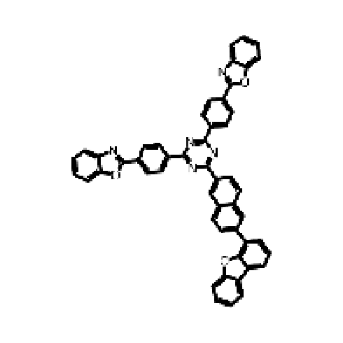 c1ccc2oc(-c3ccc(-c4nc(-c5ccc(-c6nc7ccccc7o6)cc5)nc(-c5ccc6cc(-c7cccc8c7oc7ccccc78)ccc6c5)n4)cc3)nc2c1